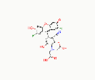 N#Cc1cc(N(CC(=O)O)CC(=O)O)c(O)cc1-c1c2cc(F)c(=O)cc-2oc2cc(O)c(F)cc12